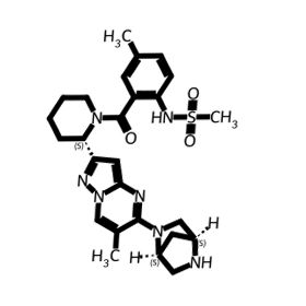 Cc1ccc(NS(C)(=O)=O)c(C(=O)N2CCCC[C@H]2c2cc3nc(N4C[C@@H]5C[C@H]4CN5)c(C)cn3n2)c1